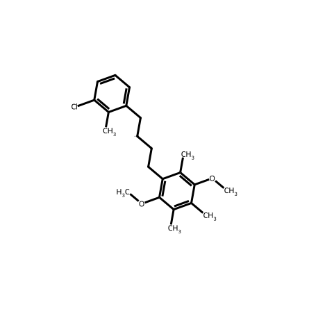 COc1c(C)c(C)c(OC)c(CC[CH]Cc2cccc(Cl)c2C)c1C